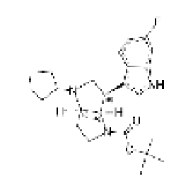 CC(C)(C)OC(=O)N1CC[C@@H]2[C@H]1[C@H](c1c[nH]c3cc(F)ccc13)CN2C1CCCC1